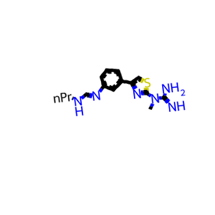 CCCNC=Nc1cccc(-c2csc(N(C)C(=N)N)n2)c1